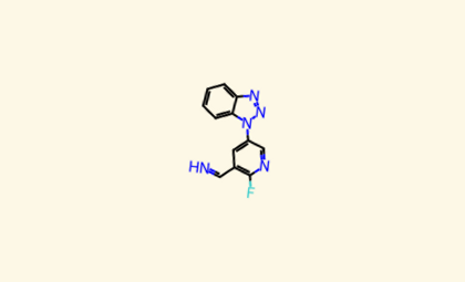 N=Cc1cc(-n2nnc3ccccc32)cnc1F